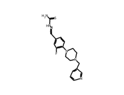 NC(=S)NN=Cc1ccc(N2CCN(Cc3cccnc3)CC2)c(F)c1